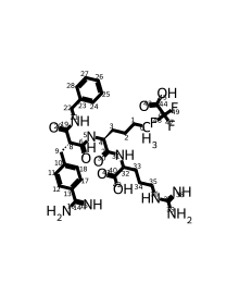 CCCC[C@H](NC(=O)[C@H](Cc1ccc(C(=N)N)cc1)C(=O)NCc1ccccc1)C(=O)NC(CCCNC(=N)N)C(=O)O.O=C(O)C(F)(F)F